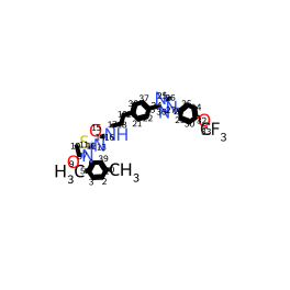 Cc1ccc(C)c(N2C(=O)CS/C2=N\C(=O)NCCCc2ccc(-c3ncn(-c4ccc(OC(F)(F)F)cc4)n3)cc2)c1